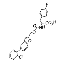 O=C(NC(Cc1ccc(F)cc1)C(=O)O)OCc1cc2cc(-c3ccccc3Cl)ccc2o1